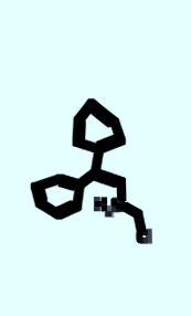 ClC[SiH2]C=C(c1ccccc1)c1ccccc1